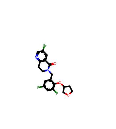 O=C1c2cc(Br)cnc2CCN1Cc1cc(F)cc(F)c1OC1CCOC1